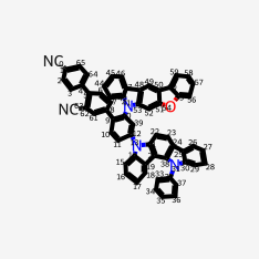 N#Cc1ccc(-c2ccc(-c3ccc(-n4c5ccccc5c5c4ccc4c6ccccc6n(-c6ccccc6)c45)cc3-n3c4ccccc4c4cc5c(cc43)oc3ccccc35)cc2C#N)cc1